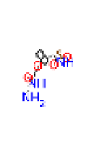 NCCCNC(=O)CCCOc1ccc(CC2SC(=O)NC2=O)c2ccccc12